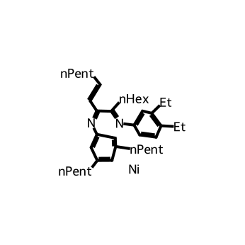 CCCCCC=CC(=Nc1cc(CCCCC)cc(CCCCC)c1)C(CCCCCC)=Nc1ccc(CC)c(CC)c1.[Ni]